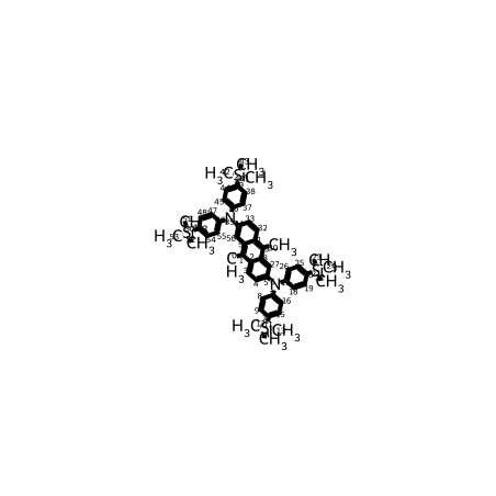 Cc1c2ccc(N(c3ccc([Si](C)(C)C)cc3)c3ccc([Si](C)(C)C)cc3)cc2c(C)c2ccc(N(c3ccc([Si](C)(C)C)cc3)c3ccc([Si](C)(C)C)cc3)cc12